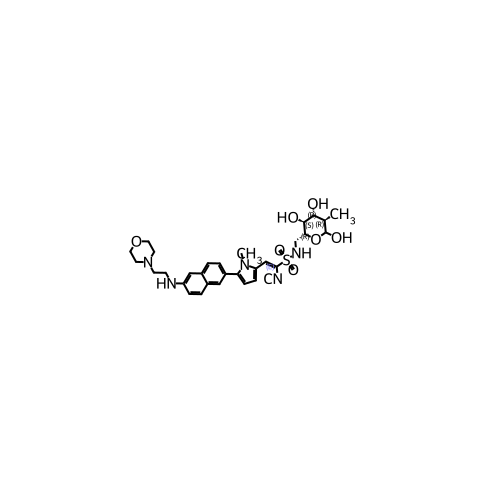 C[C@H]1C(O)O[C@H](CNS(=O)(=O)/C(C#N)=C/c2ccc(-c3ccc4cc(NCCN5CCOCC5)ccc4c3)n2C)[C@@H](O)[C@@H]1O